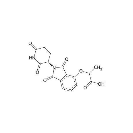 CC(Oc1cccc2c1C(=O)N([C@@H]1CCC(=O)NC1=O)C2=O)C(=O)O